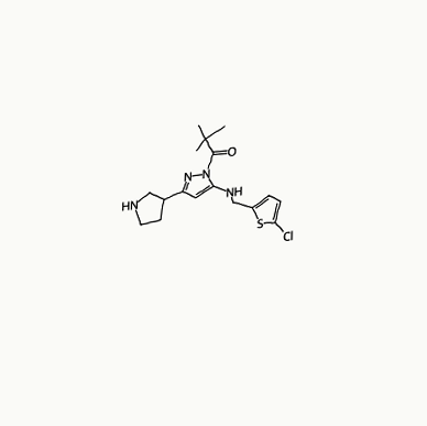 CC(C)(C)C(=O)n1nc(C2CCNC2)cc1NCc1ccc(Cl)s1